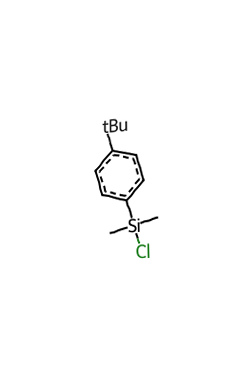 CC(C)(C)c1ccc([Si](C)(C)Cl)cc1